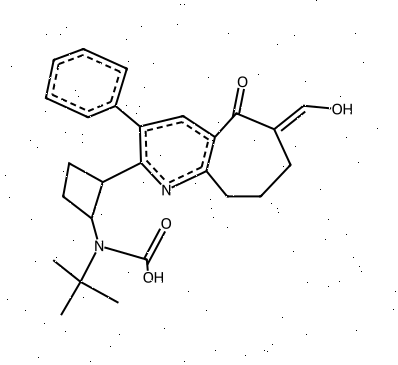 CC(C)(C)N(C(=O)O)C1CCC1c1nc2c(cc1-c1ccccc1)C(=O)C(=CO)CCC2